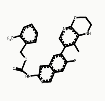 Cc1c(-c2cc3cc(NC(=O)OCc4ccccc4C(F)(F)F)ncc3cc2F)cnc2c1NCCO2